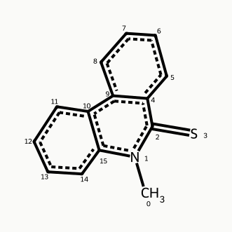 Cn1c(=S)c2ccccc2c2ccccc21